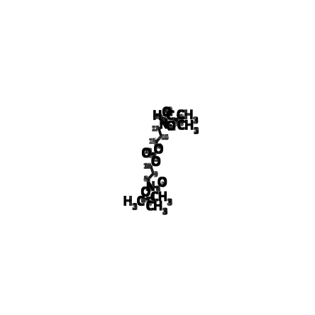 CC(C)(C)ON(C=O)CCCOC(=O)OCCCN(C=O)OC(C)(C)C